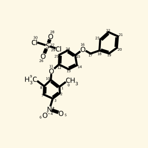 Cc1cc([N+](=O)[O-])cc(C)c1Oc1ccc(OCc2ccccc2)cc1.O=S(=O)(Cl)Cl